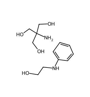 NC(CO)(CO)CO.OCCNc1ccccc1